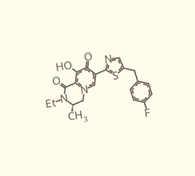 CCN1C(=O)c2c(O)c(=O)c(-c3ncc(Cc4ccc(F)cc4)s3)cn2C[C@H]1C